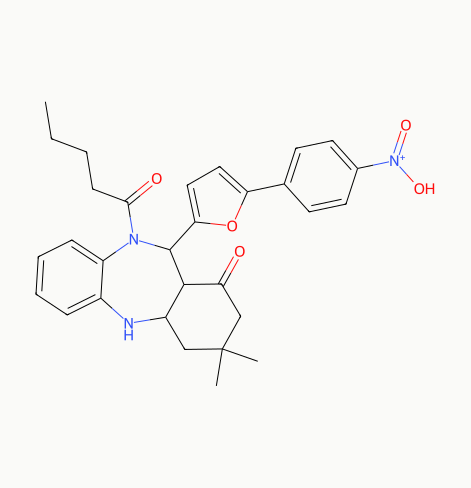 CCCCC(=O)N1c2ccccc2NC2CC(C)(C)CC(=O)C2C1c1ccc(-c2ccc([N+](=O)O)cc2)o1